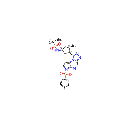 CCCCC1(S(=O)(=O)N[C@H]2C[C@@H](CC)[C@@H](c3nnc4cnc5c(ccn5S(=O)(=O)c5ccc(C)cc5)n34)C2)CC1